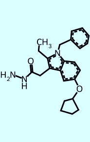 CCc1c(CC(=O)NN)c2cc(OC3CCCC3)ccc2n1Cc1ccccc1